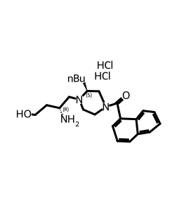 CCCC[C@H]1CN(C(=O)c2cccc3ccccc23)CCN1C[C@H](N)CCO.Cl.Cl